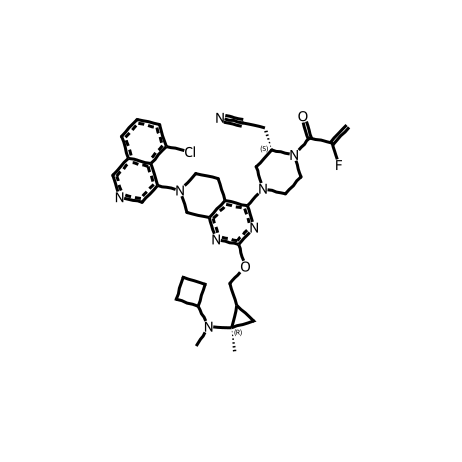 C=C(F)C(=O)N1CCN(c2nc(OCC3C[C@@]3(C)N(C)C3CCC3)nc3c2CCN(c2cncc4cccc(Cl)c24)C3)C[C@@H]1CC#N